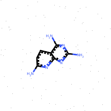 Nc1ccc2c(N)nc(N)nc2n1